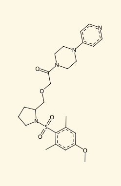 COc1cc(C)c(S(=O)(=O)N2CCCC2COCC(=O)N2CCN(c3ccncc3)CC2)c(C)c1